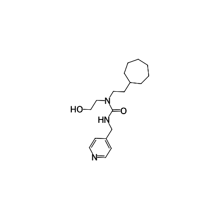 O=C(NCc1ccncc1)N(CCO)CCC1CCCCCC1